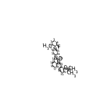 Cc1cccc(F)c1N1CCC(N2Cc3ccccc3N(Cc3ccccc3OC(C)C)C2=O)CC1